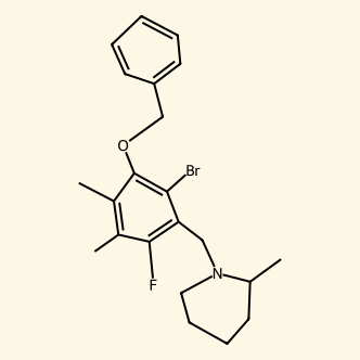 Cc1c(C)c(OCc2ccccc2)c(Br)c(CN2CCCCC2C)c1F